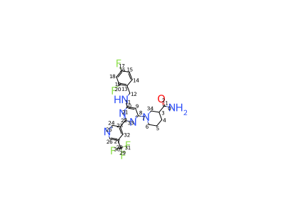 NC(=O)C1CCCN(c2cc(NCc3ccc(F)cc3F)nc(-c3cncc(C(F)(F)F)c3)n2)C1